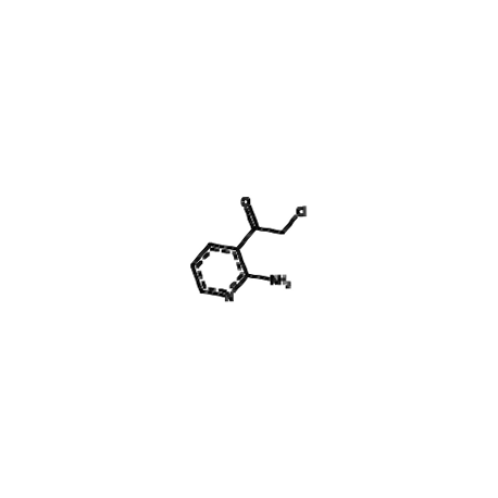 Nc1ncccc1C(=O)CCl